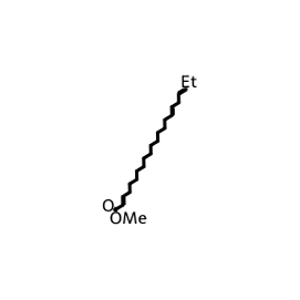 CCC=CCC=CCCCCCCCCCCCCC=CC(=O)OC